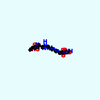 C[C@H]1CN(C2CCN(c3ccc4c(c3)C(=O)N(C3CCC(=O)NC3=O)C4=O)CC2)CCN1c1ccc(Nc2cc(-c3ccnc(N4CCn5c(cc6c5CC(C)(C)C6)C4=O)c3CO)ccn2)nc1